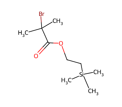 CC(C)(Br)C(=O)OCC[Si](C)(C)C